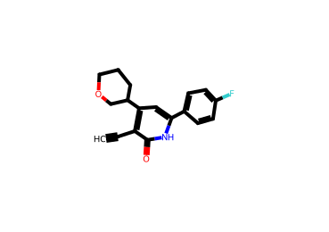 C#Cc1c(C2CCCOC2)cc(-c2ccc(F)cc2)[nH]c1=O